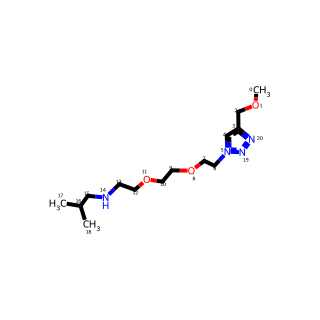 COCc1cn(CCOCCOCCNCC(C)C)nn1